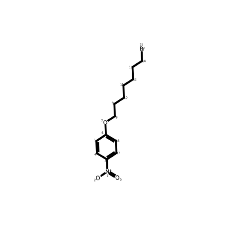 O=[N+]([O-])c1ccc(OCCCCCCCBr)cc1